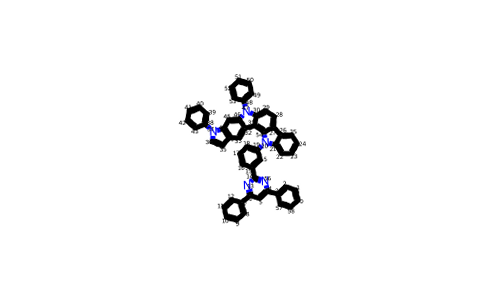 c1ccc(-c2cc(-c3ccccc3)nc(-c3cccc(-n4c5ccccc5c5ccc6c(c7cc8ccn(-c9ccccc9)c8cc7n6-c6ccccc6)c54)c3)n2)cc1